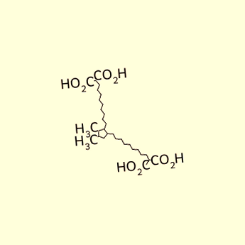 CC1CC(CCCCCCCCCC(C(=O)O)C(=O)O)C(CCCCCCCCCC(C(=O)O)C(=O)O)C1C